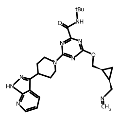 C=NC[C@@H]1C[C@@H]1COc1nc(C(=O)NC(C)(C)C)nc(N2CCC(c3n[nH]c4ncccc34)CC2)n1